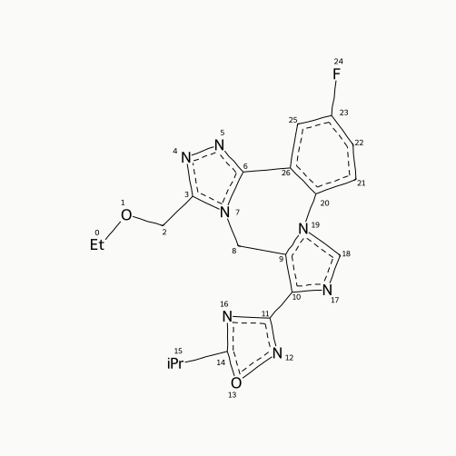 CCOCc1nnc2n1Cc1c(-c3noc(C(C)C)n3)ncn1-c1ccc(F)cc1-2